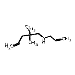 C=CCNCC(C)(C)CC=C